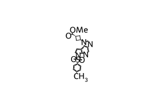 COC(=O)[C@H]1C[C@@H](n2cnc3cnc4c(ccn4S(=O)(=O)c4ccc(C)cc4)c32)C1